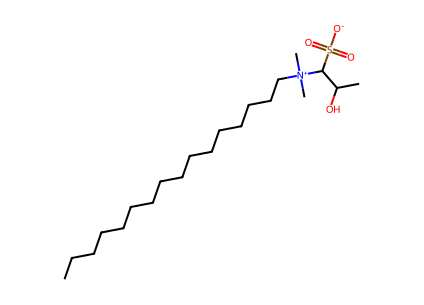 CCCCCCCCCCCCCCCC[N+](C)(C)C(C(C)O)S(=O)(=O)[O-]